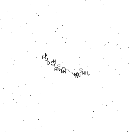 NC(=O)c1cn(CCCCc2ccc(NC(=O)Cc3cncc(OC4CC(F)(F)C4)c3)nn2)nn1